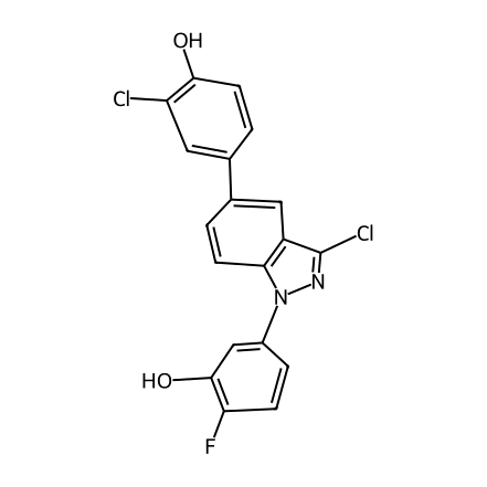 Oc1cc(-n2nc(Cl)c3cc(-c4ccc(O)c(Cl)c4)ccc32)ccc1F